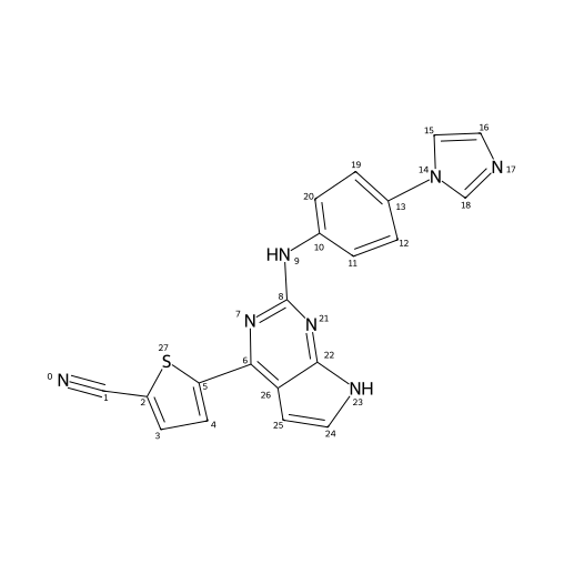 N#Cc1ccc(-c2nc(Nc3ccc(-n4ccnc4)cc3)nc3[nH]ccc23)s1